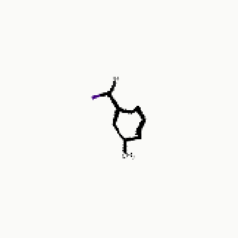 CCC(I)C1CC=CC(C)C1